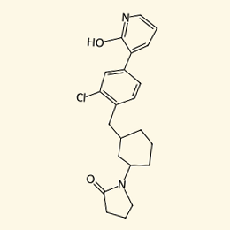 O=C1CCCN1C1CCCC(Cc2ccc(-c3cccnc3O)cc2Cl)C1